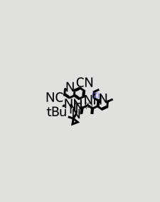 C=C(c1ccc(C)nc1/C=C\C)[C@H](Nc1cc(C#N)c2ncc(C#N)c(NCC(C)(C)C)c2c1)c1cn(C2(C)CC2)nn1